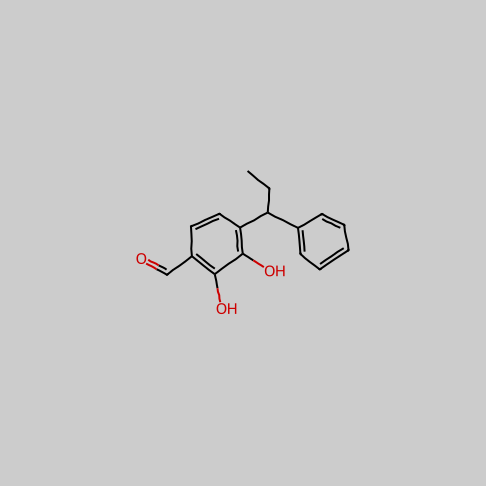 CCC(c1ccccc1)c1ccc(C=O)c(O)c1O